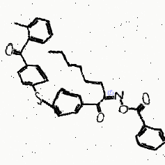 CCCCCC/C(=N/OC(=O)c1ccccc1)C(=O)c1ccc(Sc2ccc(C(=O)c3ccccc3C)cc2)cc1